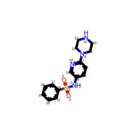 O=S(=O)(Nc1ccc(N2CCNCC2)nc1)c1ccccc1